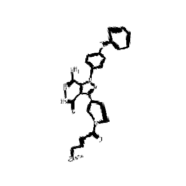 COC/C=C/C(=O)N1CC[C@H](c2nn(-c3ccc(Oc4ccccc4)cc3)c3c(N)n[nH]c(=O)c23)C1